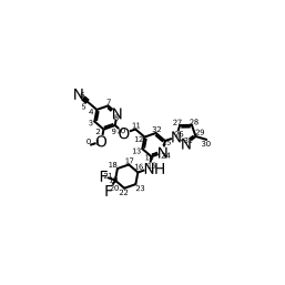 COc1cc(C#N)cnc1OCc1cc(NC2CCC(F)(F)CC2)nc(-n2ccc(C)n2)c1